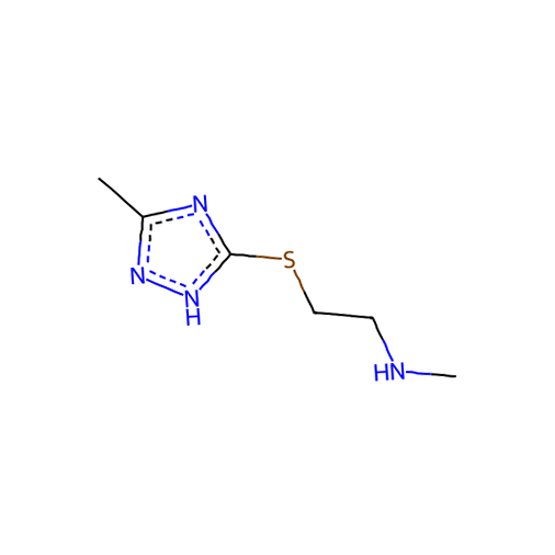 CNCCSc1nc(C)n[nH]1